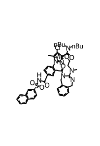 CCCCN(CCCC)C(=O)c1nn(-c2ccc(C(=O)NS(=O)(=O)c3ccc4ccccc4c3)cc2C(=O)N2Cc3ccccc3CN=C2N(C)CCOC)c(C)c1Cl